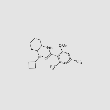 COc1cc(C(F)(F)F)cc(C(F)(F)F)c1C(=O)NC1CCCCC1NC1CCC1